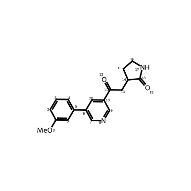 COc1cccc(-c2cncc(C(=O)CC3CCNC3=O)c2)c1